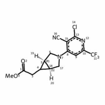 COC(=O)CC1[C@H]2CN(c3cc(C(F)(F)F)nc(Cl)c3C#N)C[C@@H]12